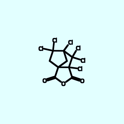 O=C1OC(=O)C2(Cl)C13CC(Cl)(Cl)C(Cl)(C3)C2(Cl)Cl